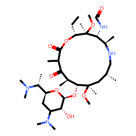 CC[C@H]1OC(=O)C(C)C(=O)[C@H](C)[C@@H](O[C@@H]2O[C@H]([C@@H](C)N(C)C)CC(N(C)C)[C@H]2O)[C@](C)(OC)C[C@@H](C)CN[C@H](C)[C@@H](NC=O)[C@]1(C)OC